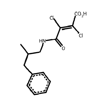 CC(CNC(=O)C(Cl)=C(Cl)C(=O)O)Cc1ccccc1